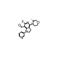 C[C@@H]1COCCN1c1nc(F)c(C=O)c2c1CCN2c1cccnc1